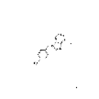 FC(F)(F)c1ccc(C[SH]2C=Nc3ccccc32)cc1